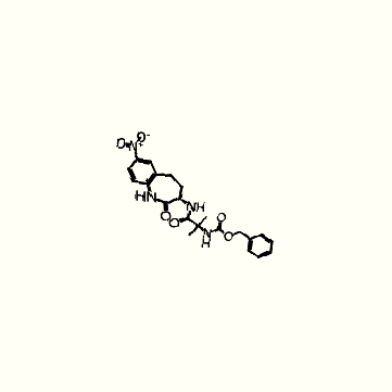 CC(C)(NC(=O)OCc1ccccc1)C(=O)N[C@@H]1CCc2cc([N+](=O)[O-])ccc2NC1=O